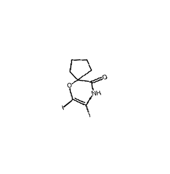 O=C1NC(I)=C(I)OC12CCCC2